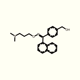 CN(C)CCCO/N=C(/c1ccc(CO)cc1)c1cccc2ccccc12